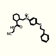 N#CCNC(=O)C1CCCCC1C[S+]([O-])c1ccc(SCCc2ccccc2)cc1